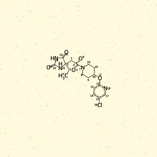 CCC1(CS(=O)(=O)N2CCC(Oc3ccc(Cl)cn3)CC2)NC(=O)NC1=O